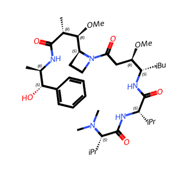 CCC(C)[C@H](NC(=O)[C@@H](NC(=O)[C@H](C(C)C)N(C)C)C(C)C)[C@@H](CC(=O)N1CC[C@H]1[C@H](OC)[C@@H](C)C(=O)N[C@H](C)[C@@H](O)c1ccccc1)OC